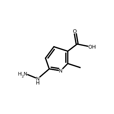 Cc1nc(NN)ccc1C(=O)O